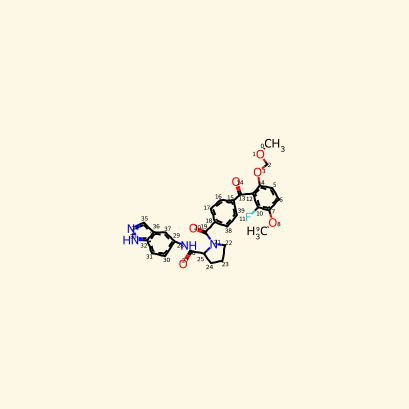 COCOc1ccc(OC)c(F)c1C(=O)c1ccc(C(=O)N2CCCC2C(=O)Nc2ccc3[nH]ncc3c2)cc1